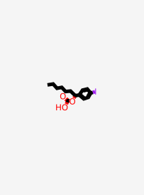 CCCCCCC(OC(=O)O)c1ccc(I)cc1